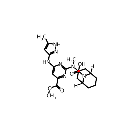 COC(=O)c1cc(Nc2cc(C)[nH]n2)nc(N(C)[C@@H]2C[C@H]3CCC[C@@H](C2)N3C(=O)O)n1